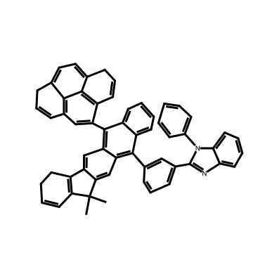 CC1(C)C2=C(CCC=C2)c2cc3c(-c4cc5c6c(ccc7c6c4C=CC7)CC=C5)c4ccccc4c(-c4cccc(-c5nc6ccccc6n5-c5ccccc5)c4)c3cc21